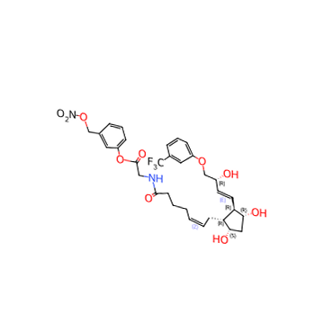 O=C(CCC/C=C\C[C@@H]1[C@@H](/C=C/[C@@H](O)COc2cccc(C(F)(F)F)c2)[C@H](O)C[C@@H]1O)NCC(=O)Oc1cccc(CO[N+](=O)[O-])c1